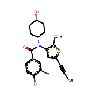 CC(C)(C)C#Cc1cc(N(C(=O)c2ccc(Cl)c(F)c2)[C@H]2CC[C@H](O)CC2)c(C(=O)O)s1